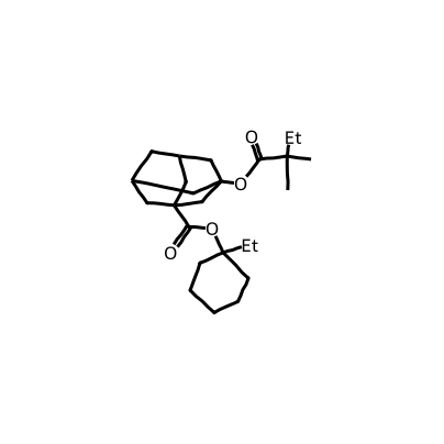 CCC1(OC(=O)C23CC4CC(CC(OC(=O)C(C)(C)CC)(C4)C2)C3)CCCCC1